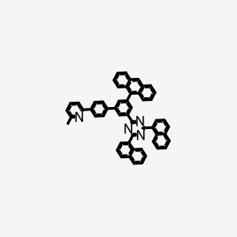 Cc1cccc(-c2ccc(-c3cc(-c4nc(-c5cccc6ccccc56)nc(-c5cccc6ccccc56)n4)cc(-c4c5ccccc5cc5ccccc45)c3)cc2)n1